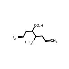 C=CCC(C(=O)O)C(CC=C)C(=O)O